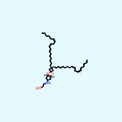 CCCCC/C=C\C/C=C\CCCCCCCCC1(CCCCCCCC/C=C\C/C=C\CCCCC)CC2(C1)O[C@H]1CC(NCCO)C[C@H]1O2